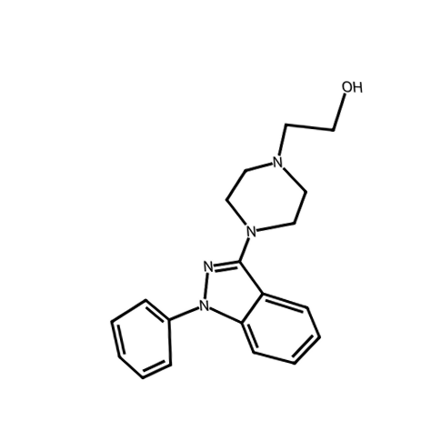 OCCN1CCN(c2nn(-c3ccccc3)c3ccccc23)CC1